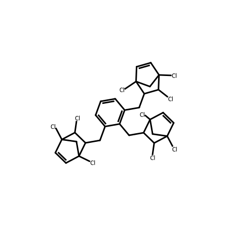 ClC1C(Cc2cccc(CC3C(Cl)C4(Cl)C=CC3(Cl)C4)c2CC2C(Cl)C3(Cl)C=CC2(Cl)C3)C2(Cl)C=CC1(Cl)C2